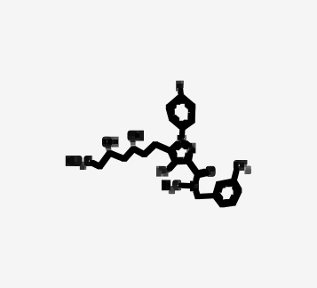 CC(C)c1c(C(=O)N(C)Cc2cccc(C(F)(F)F)c2)nn(-c2ccc(F)cc2)c1CC[C@@H](O)C[C@@H](O)CC(=O)O